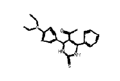 CCN(CC)c1ccc(C2NC(=S)NC(c3ccccc3)=C2C(C)=O)cc1